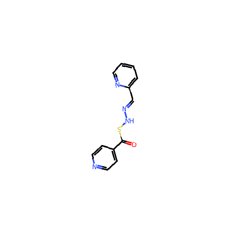 O=C(SNN=Cc1ccccn1)c1ccncc1